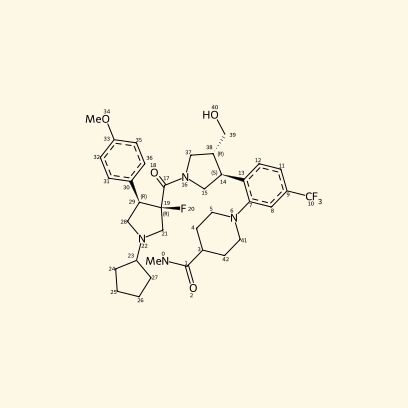 CNC(=O)C1CCN(c2cc(C(F)(F)F)ccc2[C@H]2CN(C(=O)[C@]3(F)CN(C4CCCC4)C[C@H]3c3ccc(OC)cc3)C[C@@H]2CO)CC1